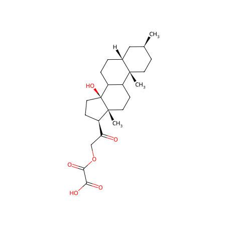 C[C@H]1CC[C@]2(C)C3CC[C@]4(C)[C@@H](C(=O)COC(=O)C(=O)O)CC[C@]4(O)C3CC[C@@H]2C1